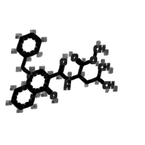 COC(=O)C(CC(C)C)NC(=O)c1cn(Cc2ccccc2)c2ccccc2c1=O